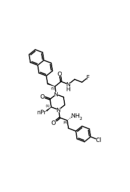 CCC[C@H]1C(=O)N([C@@H](Cc2ccc3ccccc3c2)C(=O)NCCF)CCN1C(=O)[C@H](N)Cc1ccc(Cl)cc1